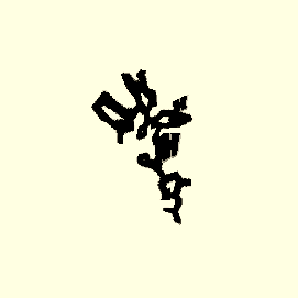 Cc1cccc(-c2sc(C)nc2C(=O)N2C[C@H]3CC3[C@H]2CNC(=O)c2cnc(CC(C)C)c(C)c2)c1